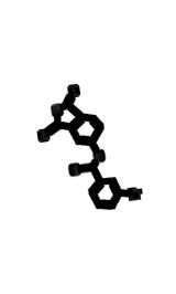 O=C(Oc1ccc2c(c1)C(=O)OC2=O)c1cccc(Br)c1